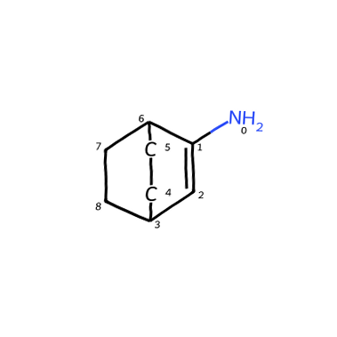 NC1=CC2CCC1CC2